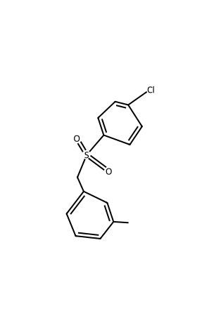 Cc1cccc(CS(=O)(=O)c2ccc(Cl)cc2)c1